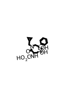 O=C(O)N[C@@H]1CS(O)(O)[C@@H](c2ccccc2)CN(CC2CC2)C1=O